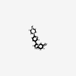 CN1CCN(c2ccc(-c3cnc4ccc(Br)cn34)cn2)CC1